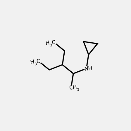 CCC(CC)C(C)NC1CC1